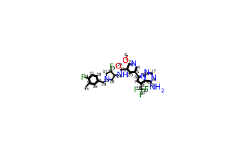 COc1ncc(-c2cc(C(F)(F)F)c3c(N)ncnn23)cc1C(=O)NC1CN(Cc2ccc(F)c(C)c2)CC1F